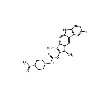 CC(=O)N1CCC(NC(=O)Oc2c(C)[nH]c(/C=C3\C(=O)Nc4ccc(F)cc43)c2C)CC1